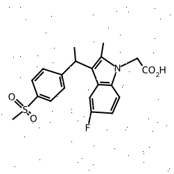 Cc1c(C(C)c2ccc(S(C)(=O)=O)cc2)c2cc(F)ccc2n1CC(=O)O